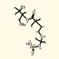 CCC(C)(C)C(C)(CC(C)(C)C)OC(=O)C(C)(C)CCOC(C)(C)O[PH](=O)O